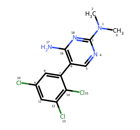 CN(C)c1ncc(-c2cc(Cl)cc(Cl)c2Cl)c(N)n1